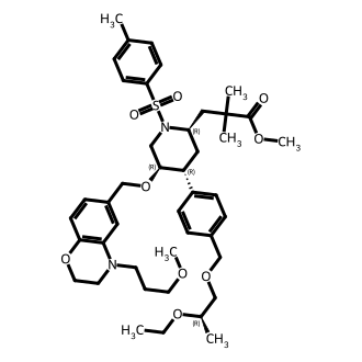 CCO[C@H](C)COCc1ccc([C@H]2C[C@H](CC(C)(C)C(=O)OC)N(S(=O)(=O)c3ccc(C)cc3)C[C@@H]2OCc2ccc3c(c2)N(CCCOC)CCO3)cc1